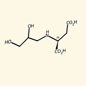 O=C(O)C[C@H](NCC(O)CO)C(=O)O